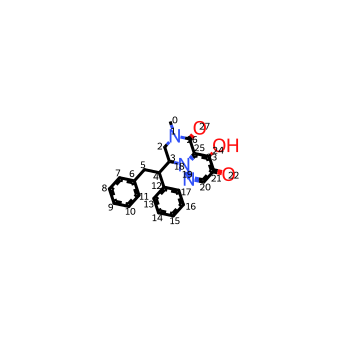 CN1CC(C(Cc2ccccc2)c2ccccc2)n2ncc(=O)c(O)c2C1=O